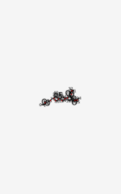 C=CC(=O)OCCCc1ccc(-c2ccc(-c3ccc(OC(=O)C(=C)C)c(OC(=O)C(=C)C)c3)cc2F)c2c1CCC2